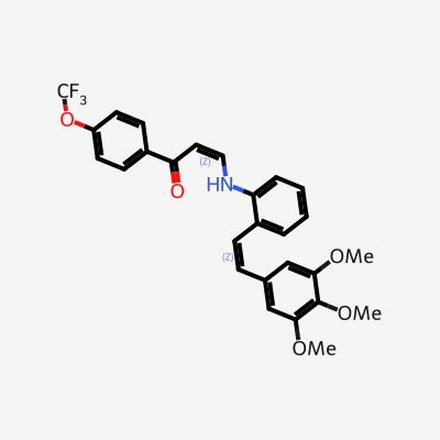 COc1cc(/C=C\c2ccccc2N/C=C\C(=O)c2ccc(OC(F)(F)F)cc2)cc(OC)c1OC